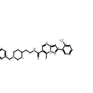 Cc1c(C(=O)NCCC2CCN(Cc3ccccc3)CC2)cnc2cc(-c3ccccc3C(F)(F)F)nn12